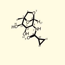 C[C@@]12CO[C@@H](O1)[C@@H](NC(=O)C1CC1)[C@@H](O)[C@H]2O